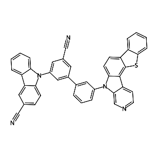 N#Cc1cc(-c2cccc(-n3c4cnccc4c4c5sc6ccccc6c5ccc43)c2)cc(-n2c3ccccc3c3cc(C#N)ccc32)c1